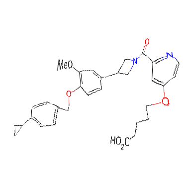 COc1cc(C2CN(C(=O)c3cc(OCCCCC(=O)O)ccn3)C2)ccc1OCc1ccc(C2CC2)cc1